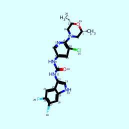 C[C@@H]1CN(c2ncc(NC(=O)Nc3c[nH]c4cc(F)c(F)cc34)cc2Cl)C[C@H](C)O1